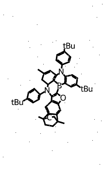 CC1=CC2=C3B(c4cc(C(C)(C)C)ccc4N2c2ccc(C(C)(C)C)cc2)c2oc4cc5c(cc4c2N(c2ccc(C(C)(C)C)cc2)C3C1)C1(C)CCC5(C)CC1